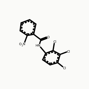 O=C(Nc1ccc(Cl)c(Cl)c1Cl)c1ccccc1[N+](=O)[O-]